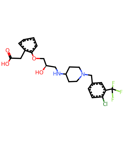 O=C(O)Cc1ccccc1OC[C@H](O)CNC1CCN(Cc2ccc(Cl)c(C(F)(F)F)c2)CC1